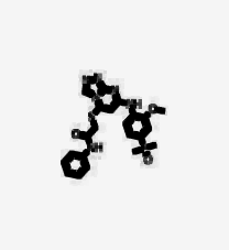 COc1cc(P(C)(C)=O)ccc1Nc1cc(SCC(=O)Nc2ccccc2)n2cnnc2n1